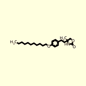 CCCCCCCCCCCOc1ccc(CCC2(C)COC(=O)N2)cc1